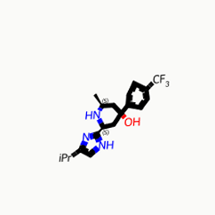 CC(C)c1c[nH]c([C@@H]2CC(O)(c3ccc(C(F)(F)F)cc3)C[C@H](C)N2)n1